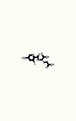 Nc1cnc(C(=O)N[C@@H](CCC(=O)O)C(=O)O)c(F)c1